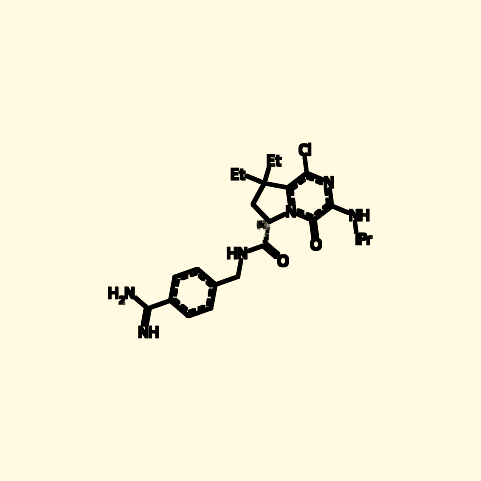 CCC1(CC)C[C@@H](C(=O)NCc2ccc(C(=N)N)cc2)n2c1c(Cl)nc(NC(C)C)c2=O